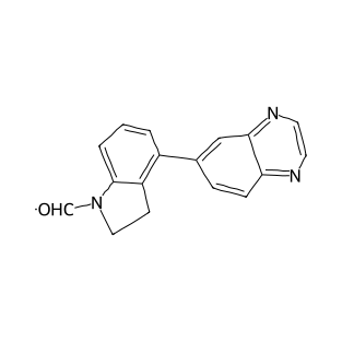 O=[C]N1CCc2c(-c3ccc4nccnc4c3)cccc21